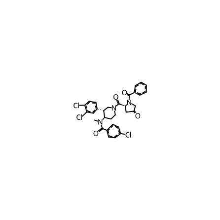 CN(C(=O)c1ccc(Cl)cc1)[C@@H]1CCN(C(=O)[C@@H]2CC(=O)CN2C(=O)c2ccccc2)C[C@H]1c1ccc(Cl)c(Cl)c1